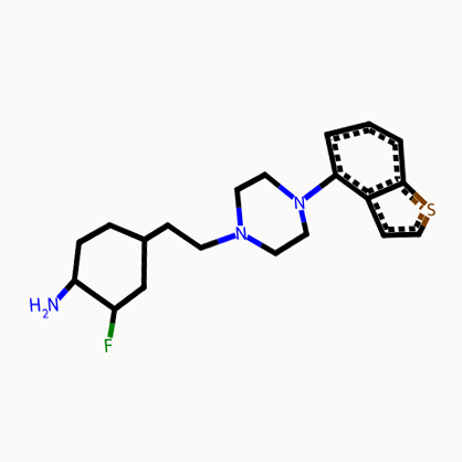 NC1CCC(CCN2CCN(c3cccc4sccc34)CC2)CC1F